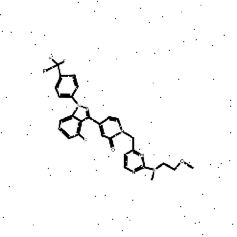 COCCN(C)c1nccc(Cn2ccc(-c3nn(-c4ccc(C(F)(F)F)cc4)c4cccc(F)c34)cc2=O)n1